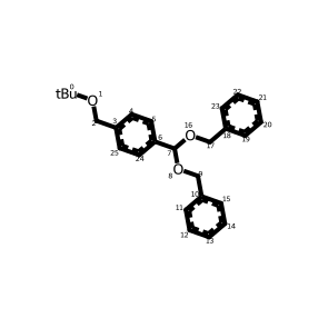 CC(C)(C)OCc1ccc(C(OCc2ccccc2)OCc2ccccc2)cc1